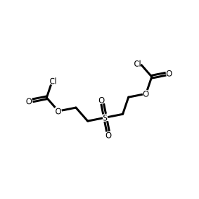 O=C(Cl)OCCS(=O)(=O)CCOC(=O)Cl